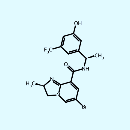 C[C@@H]1CN2C=C(Br)C=C(C(=O)N[C@H](C)c3cc(O)cc(C(F)(F)F)c3)C2=N1